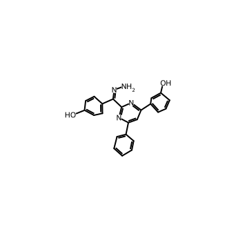 NN=C(c1ccc(O)cc1)c1nc(-c2ccccc2)cc(-c2cccc(O)c2)n1